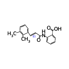 Cc1cccc(/C=C/C(=O)Nc2ccccc2C(=O)O)c1C